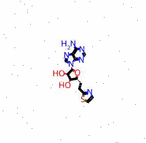 Nc1ncnc2c1ncn2[C@@H]1O[C@H](CCc2nccs2)[C@@H](O)[C@H]1O